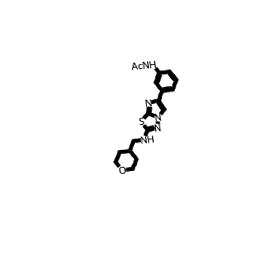 CC(=O)Nc1cccc(-c2cn3nc(NCC4CCOCC4)sc3n2)c1